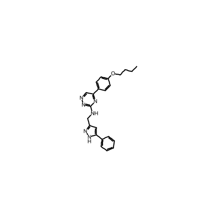 CCCCOc1ccc(-c2cnnc(NCc3cc(-c4ccccc4)[nH]n3)n2)cc1